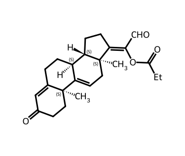 CCC(=O)OC(C=O)=C1CC[C@H]2[C@@H]3CCC4=CC(=O)CC[C@]4(C)C3=CC[C@]12C